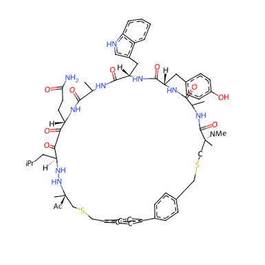 CN[C@]1(C)CSCc2ccc(cc2)-c2ccc(cc2)CSC[C@@](C)(C(C)=O)NN[C@@H](CC(C)C)C(=O)C(=O)[C@H](CCC(N)=O)NC(=O)C(C)NC(=O)[C@H](Cc2c[nH]c3ccccc23)NC(=O)[C@H](Cc2ccc(O)cc2)NC(=O)C(C)NC1=O